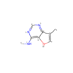 CNc1ncnc2c(C)coc12